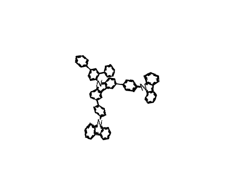 c1ccc(-c2ccc(-n3c4ccc(-c5ccc(-n6c7ccccc7c7ccccc76)cc5)cc4c4cc(-c5ccc(-n6c7ccccc7c7ccccc76)cc5)ccc43)c(-c3ccccc3)c2)cc1